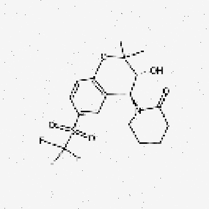 CC1(C)Oc2ccc(S(=O)(=O)C(F)(F)F)cc2[C@H](N2CCCCC2=O)[C@H]1O